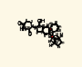 O=C1CCC(N2Cc3cc(C4C[C@H]5CC[C@@H](C4)N5Cc4ccccc4)ccc3C2O)C(=O)N1